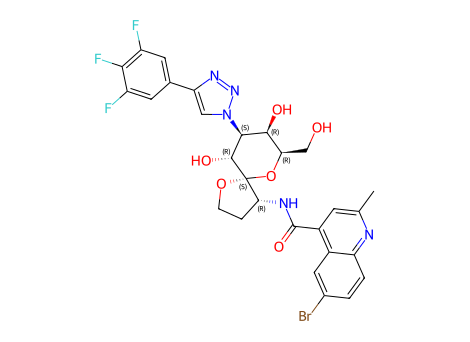 Cc1cc(C(=O)N[C@@H]2CCO[C@]23O[C@H](CO)[C@H](O)[C@H](n2cc(-c4cc(F)c(F)c(F)c4)nn2)[C@H]3O)c2cc(Br)ccc2n1